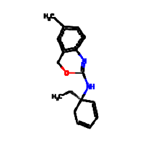 CC[C@]1(NC2=Nc3ccc(C)cc3CO2)C=CC=CC1